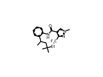 CCC(C)(C)CC(C)c1ccccc1NC(=O)c1cn(C)nc1C(F)(F)F